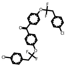 O=C(c1ccc(OC(F)(F)Cc2ccc(Cl)cc2)cc1)c1ccc(OC(F)(F)Cc2ccc(Cl)cc2)cc1